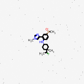 CC(F)[C@]1(C)CC[C@H](Nc2ccc([S+](C)[O-])cc2-c2cn(C)cn2)CC1